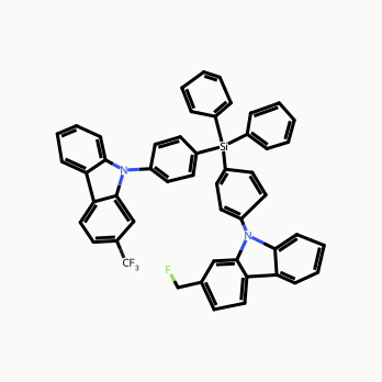 FCc1ccc2c3ccccc3n(-c3ccc([Si](c4ccccc4)(c4ccccc4)c4ccc(-n5c6ccccc6c6ccc(C(F)(F)F)cc65)cc4)cc3)c2c1